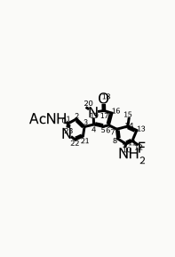 CC(=O)Nc1cc(-c2cc(-c3cc(N)c(F)cc3C)cc(=O)n2C)ccn1